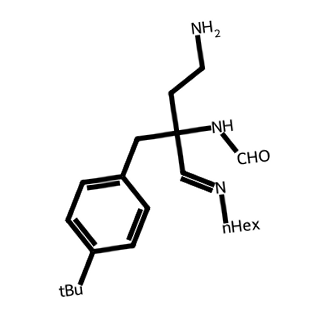 CCCCCCN=CC(CCN)(Cc1ccc(C(C)(C)C)cc1)NC=O